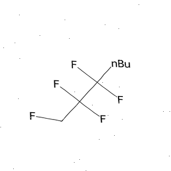 [CH2]CCCC(F)(F)C(F)(F)CF